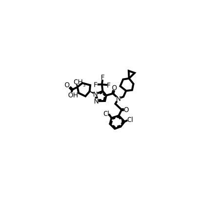 C[C@]1(C(=O)O)CC[C@H](n2ncc(C(=O)N(CC(=O)c3c(Cl)cccc3Cl)CC3CCC4(CC3)CC4)c2C(F)(F)F)CC1